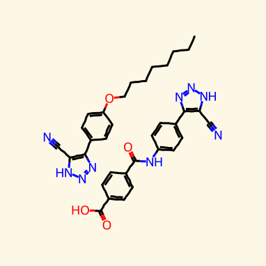 CCCCCCCCOc1ccc(-c2nn[nH]c2C#N)cc1.N#Cc1[nH]nnc1-c1ccc(NC(=O)c2ccc(C(=O)O)cc2)cc1